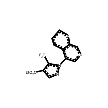 CCOC(=O)c1cnn(-c2cncc3ncccc23)c1C(F)(F)F